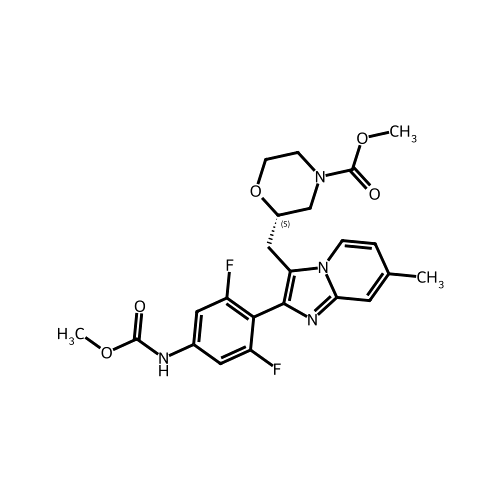 COC(=O)Nc1cc(F)c(-c2nc3cc(C)ccn3c2C[C@H]2CN(C(=O)OC)CCO2)c(F)c1